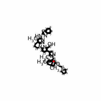 Cc1c(Nc2nc3ccccc3s2)nnc2c1CCCN2c1ccc(-c2cnn(CC34CC5(C)CC(C)(C3)CC(OCCN3CCCC3)(C5)C4)c2C)c(CO)n1